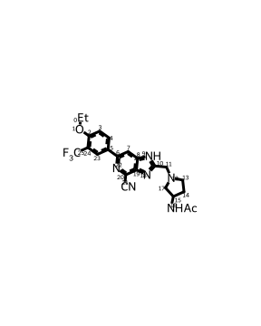 CCOc1ccc(-c2cc3[nH]c(CN4CCC(NC(C)=O)C4)nc3c(C#N)n2)cc1C(F)(F)F